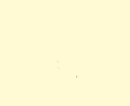 CC(C)(C)OC(=O)N(Cc1ccccc1)C1(CO)CCOC1(C)C(=N)COCc1ccccc1